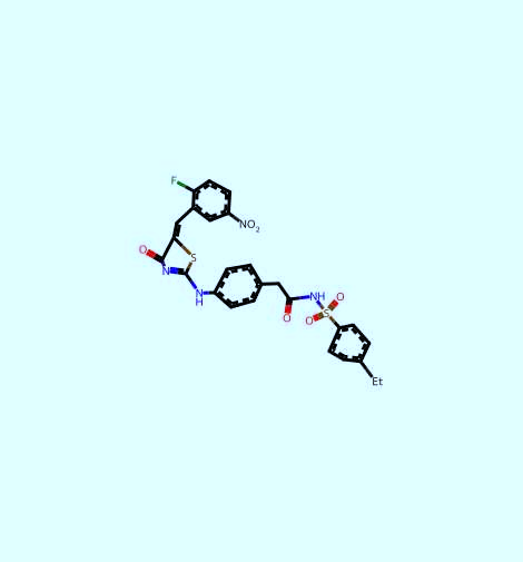 CCc1ccc(S(=O)(=O)NC(=O)Cc2ccc(NC3=NC(=O)C(=Cc4cc([N+](=O)[O-])ccc4F)S3)cc2)cc1